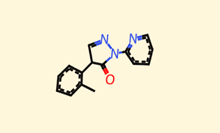 Cc1ccccc1C1C=NN(c2ccccn2)C1=O